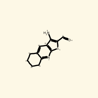 Nc1c(C=O)sc2nc3c(cc12)CCCC3